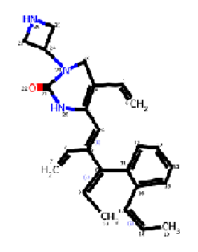 C=CC1=C(/C=C(C=C)/C(=C/C)c2ccccc2/C=C\C)NC(=O)N(C2CNC2)C1